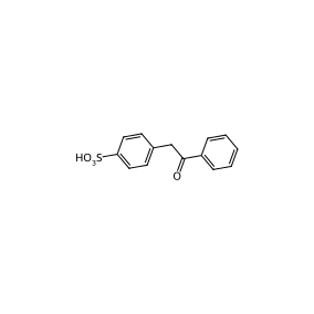 O=C(Cc1ccc(S(=O)(=O)O)cc1)c1ccccc1